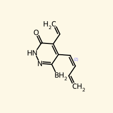 Bc1n[nH]c(=O)c(C=C)c1/C=C\C=C